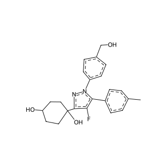 Cc1ccc(-c2c(F)c(C3(O)CCC(O)CC3)nn2-c2ccc(CO)cc2)cc1